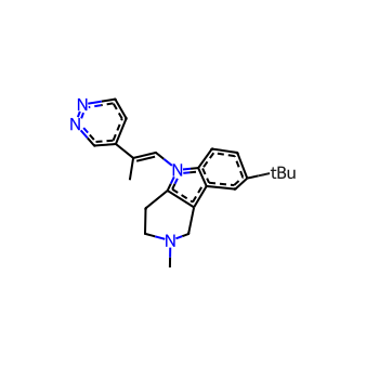 C/C(=C\n1c2c(c3cc(C(C)(C)C)ccc31)CN(C)CC2)c1ccnnc1